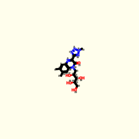 Cc1cc2nc(-c3nnn(C)n3)c(=O)n(C[C@H](O)[C@H](O)[C@H](O)CO)c2cc1C